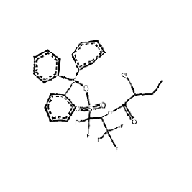 CCC(Cl)C(=O)OC(C(F)(F)F)C(F)(F)S(=O)(=O)OS(c1ccccc1)(c1ccccc1)c1ccccc1